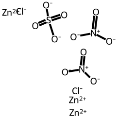 O=S(=O)([O-])[O-].O=[N+]([O-])[O-].O=[N+]([O-])[O-].[Cl-].[Cl-].[Zn+2].[Zn+2].[Zn+2]